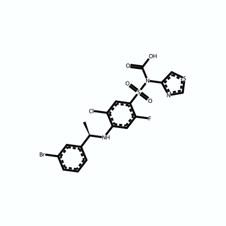 C[C@@H](Nc1cc(F)c(S(=O)(=O)N(C(=O)O)c2cscn2)cc1Cl)c1cccc(Br)c1